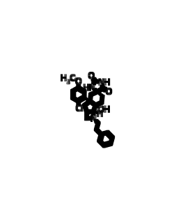 COc1ccc(C)c([C@]23CC4CN(CCc5ccccc5)[C@H]4[C@]2(O)CC[C@@]2(C3)NC(=O)NC2=O)c1